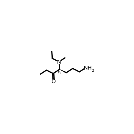 CCC(=O)[C@H](CCCN)N(C)CC